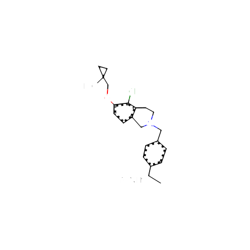 CC(=O)N[C@@H](C)c1ccc(CN2CCc3c(ccc(OCC4(C(F)(F)F)CC4)c3Cl)C2)cc1